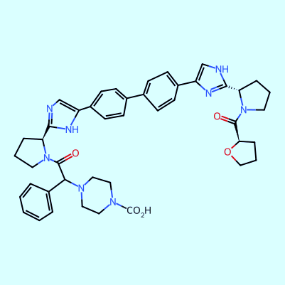 O=C(O)N1CCN(C(C(=O)N2CCC[C@H]2c2ncc(-c3ccc(-c4ccc(-c5c[nH]c([C@@H]6CCCN6C(=O)[C@H]6CCCO6)n5)cc4)cc3)[nH]2)c2ccccc2)CC1